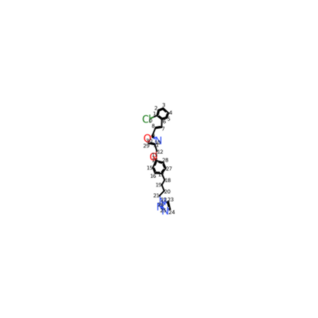 Clc1ccccc1/C=C/c1nc(COc2ccc(CCCCn3ccnn3)cc2)co1